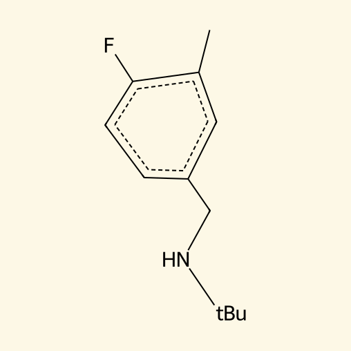 Cc1cc(CNC(C)(C)C)ccc1F